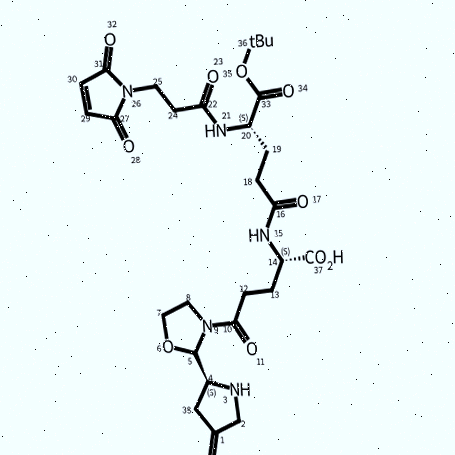 C=C1CN[C@H](C2OCCN2C(=O)CC[C@H](NC(=O)CC[C@H](NC(=O)CCN2C(=O)C=CC2=O)C(=O)OC(C)(C)C)C(=O)O)C1